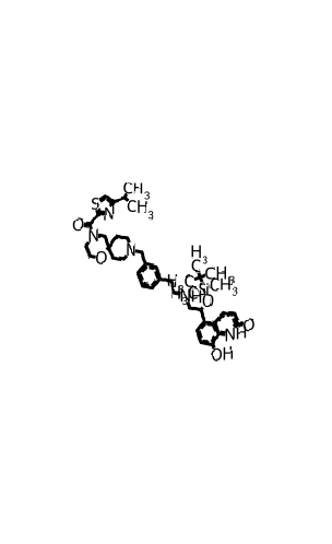 CC(C)c1csc(C(=O)N2CCOC3(CCN(Cc4cccc(CCNCC(O[Si](C)(C)C(C)(C)C)c5ccc(O)c6[nH]c(=O)ccc56)c4)CC3)C2)n1